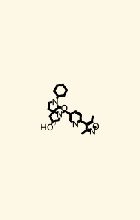 Cc1noc(C)c1-c1ccc(CN2C[C@H](O)CC23CCN(C2CCCCC2)C3=O)cn1